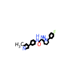 Cc1cc(-c2ccc(NC(=O)c3nnn4c3CCCC4c3ccc(F)cc3)cc2)ccn1